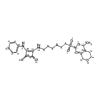 CC(ON(C)S(=O)(=O)CCCCCCNc1c(Nc2ccncc2)c(=O)c1=O)N1CCOCC1